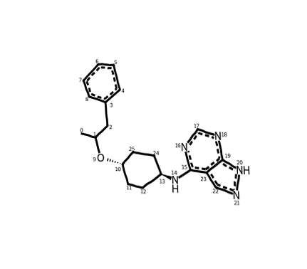 CC(Cc1ccccc1)O[C@H]1CC[C@H](Nc2ncnc3[nH]ncc23)CC1